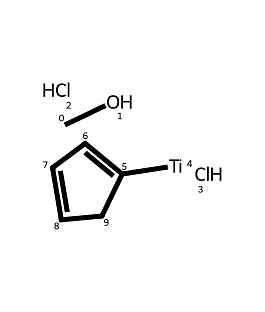 CO.Cl.Cl.[Ti][C]1=CC=CC1